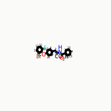 O=C(O)/C(=C\c1ccc(Oc2c(F)cccc2Br)cc1)NC(=O)c1ccccc1